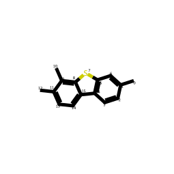 Cc1ccc2c(c1)sc1c(C)c(C)ccc12